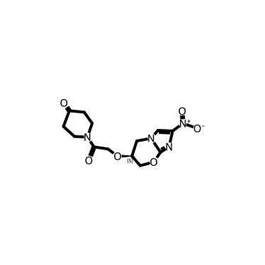 O=C1CCN(C(=O)CO[C@@H]2COc3nc([N+](=O)[O-])cn3C2)CC1